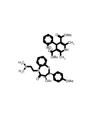 COC(=O)C1=C(C)NC(C)=C(C(=O)OCC(C)C)C1c1ccccc1[N+](=O)[O-].COc1ccc([C@@H]2Sc3ccccc3N(CCN(C)C)C(=O)[C@@H]2OC(C)=O)cc1